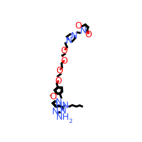 CCCCCNc1nc(N)nc2ccn(Cc3ccc(COCCOCCOCCOCCN4CCN(CCN5C(=O)C=CC5=O)CC4)cc3OC)c12